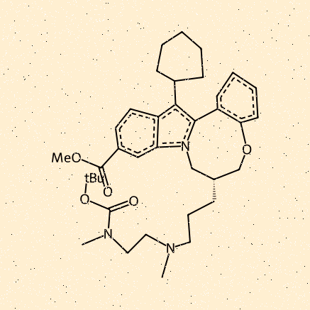 COC(=O)c1ccc2c(C3CCCCC3)c3n(c2c1)C[C@@H](CCCN(C)CCN(C)C(=O)OC(C)(C)C)COc1ccccc1-3